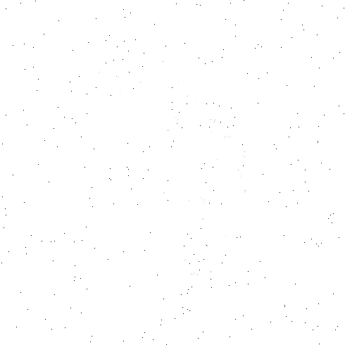 CC(=O)N1CCN(c2cc3c(cc2F)c(=O)c(NC(=O)Nc2nnc(-c4cn(CCF)c5c(F)c(N6CCN(C)CC6)c(F)cc5c4=O)s2)cn3C2CC2)CC1